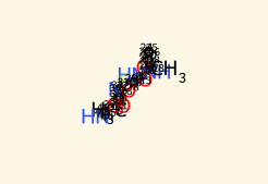 COc1cc2c(Oc3ccc(NC(=O)C(=O)NC(C)c4ccc5ccccc5c4)cc3F)ccnc2cc1OCC1CCNCC1